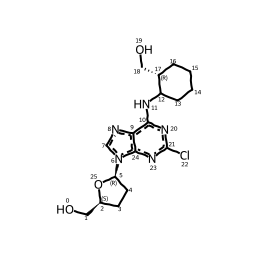 OC[C@@H]1CC[C@H](n2cnc3c(NC4CCCC[C@H]4CO)nc(Cl)nc32)O1